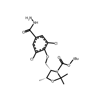 C[C@H]1OC(C)(C)N(C(=O)OC(C)(C)C)[C@H]1COc1c(Cl)cc(C(=O)NN)cc1Cl